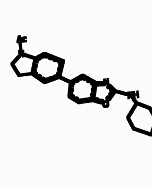 CC(=O)N1CCc2cc(-c3ccc4oc(NC5CCCCC5)nc4c3)ccc21